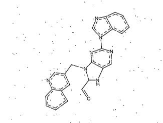 O=CC1Nc2cnc(-n3cnc4ccccc43)nc2N1Cc1cnc2ccccc2c1